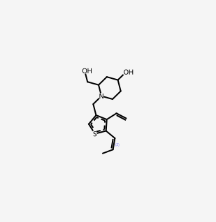 C=Cc1c(CN2CCC(O)CC2CO)csc1/C=C\C